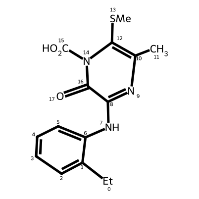 CCc1ccccc1Nc1nc(C)c(SC)n(C(=O)O)c1=O